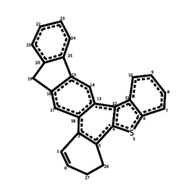 C1=Cc2c(c3sc4ccccc4c3c3cc4c(cc23)Cc2ccccc2-4)CC1